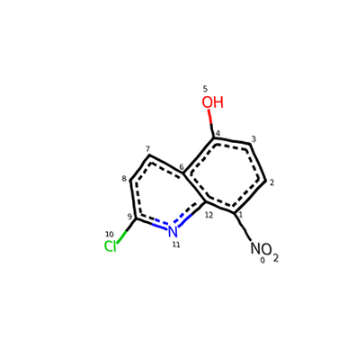 O=[N+]([O-])c1ccc(O)c2ccc(Cl)nc12